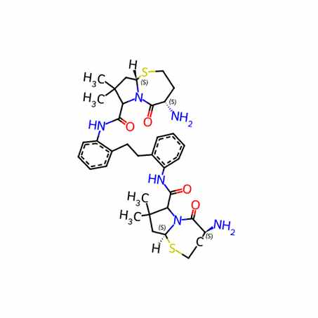 CC1(C)C[C@@H]2SCC[C@H](N)C(=O)N2C1C(=O)Nc1ccccc1CCc1ccccc1NC(=O)C1N2C(=O)[C@@H](N)CCS[C@H]2CC1(C)C